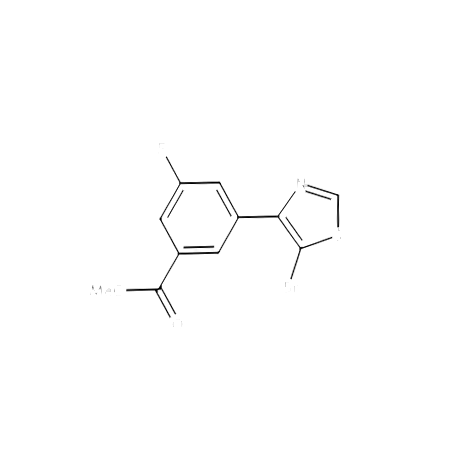 COC(=O)c1cc(F)cc(-c2ncsc2Br)c1